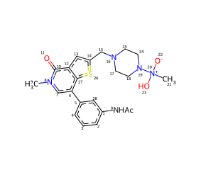 CC(=O)Nc1cccc(-c2cn(C)c(=O)c3cc(CN4CCN([N+](C)([O-])O)CC4)sc23)c1